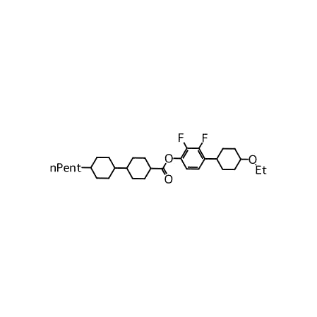 CCCCCC1CCC(C2CCC(C(=O)Oc3ccc(C4CCC(OCC)CC4)c(F)c3F)CC2)CC1